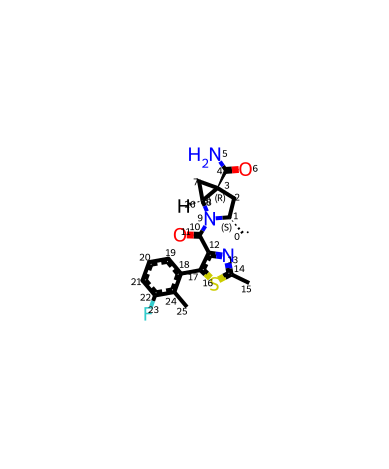 [CH2][C@H]1C[C@@]2(C(N)=O)C[C@@H]2N1C(=O)c1nc(C)sc1-c1cccc(F)c1C